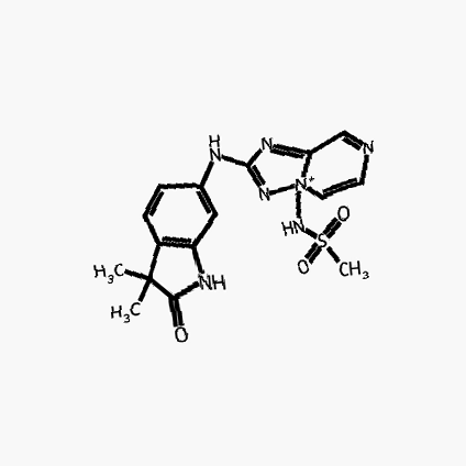 CC1(C)C(=O)Nc2cc(NC3=N[N+]4(NS(C)(=O)=O)C=CN=CC4=N3)ccc21